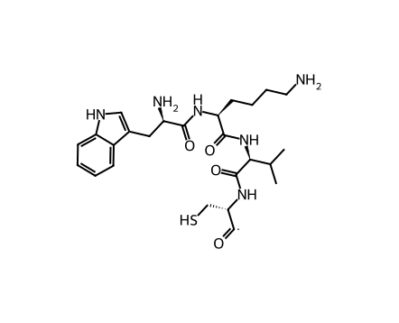 CC(C)[C@H](NC(=O)[C@H](CCCCN)NC(=O)[C@H](N)Cc1c[nH]c2ccccc12)C(=O)N[C@H]([C]=O)CS